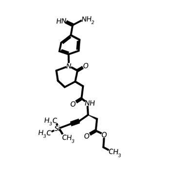 CCOC(=O)C[C@@H](C#C[Si](C)(C)C)NC(=O)CC1CCCN(c2ccc(C(=N)N)cc2)C1=O